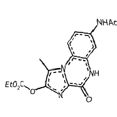 CCOC(=O)Oc1nc2c(=O)[nH]c3cc(NC(C)=O)ccc3n2c1C